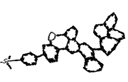 C[Si](C)(C)c1ccc(-c2ccc3c(c2)Oc2cccc4c2c-3cc2c3ccccc3c(-c3ccc5ccc6cccc7ccc3c5c67)cc42)cc1